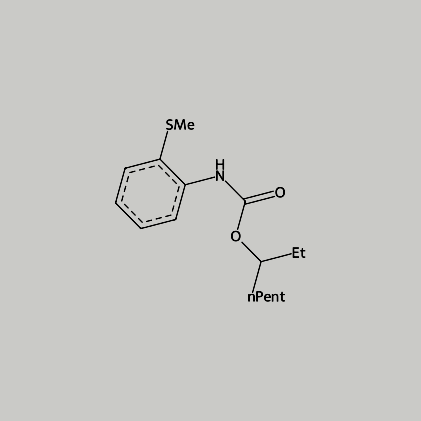 CCCCCC(CC)OC(=O)Nc1ccccc1SC